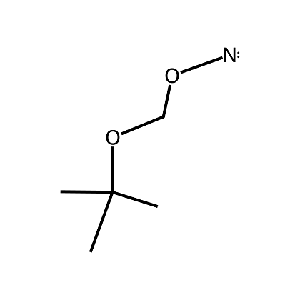 CC(C)(C)OCO[N]